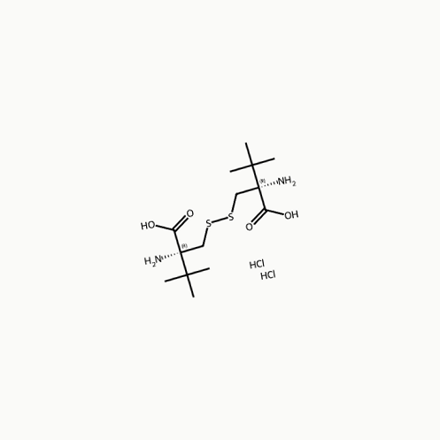 CC(C)(C)[C@](N)(CSSC[C@](N)(C(=O)O)C(C)(C)C)C(=O)O.Cl.Cl